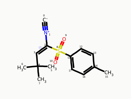 [C-]#[N+]/C(=C/C(C)(C)C)S(=O)(=O)c1ccc(C)cc1